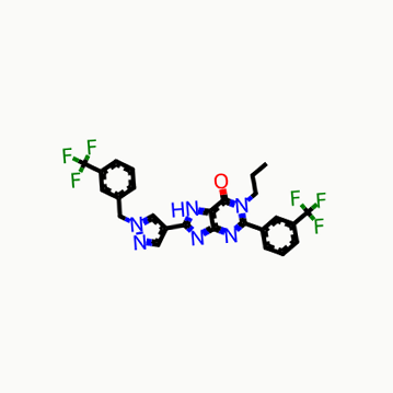 CCCn1c(-c2cccc(C(F)(F)F)c2)nc2nc(-c3cnn(Cc4cccc(C(F)(F)F)c4)c3)[nH]c2c1=O